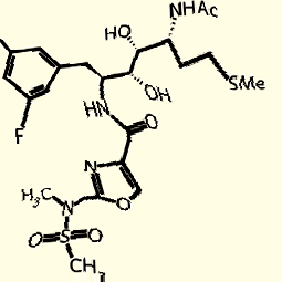 CSCC[C@@H](NC(C)=O)[C@@H](O)[C@H](O)[C@H](Cc1cc(F)cc(F)c1)NC(=O)c1coc(N(C)S(C)(=O)=O)n1